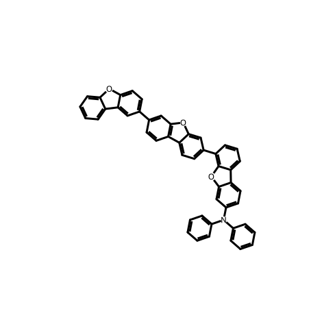 c1ccc(N(c2ccccc2)c2ccc3c(c2)oc2c(-c4ccc5c(c4)oc4cc(-c6ccc7oc8ccccc8c7c6)ccc45)cccc23)cc1